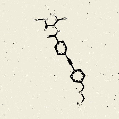 CCNCc1ccc(C#Cc2ccc(C(=O)N[C@H](C(=O)NO)[C@@H](C)O)cc2)cc1